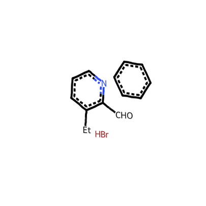 Br.CCc1cccnc1C=O.c1ccccc1